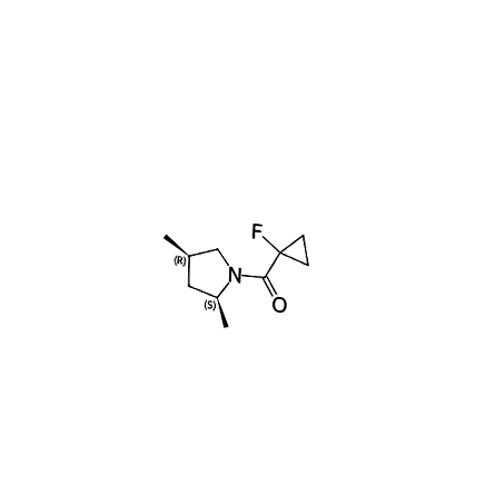 C[C@@H]1C[C@H](C)N(C(=O)C2(F)CC2)C1